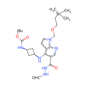 CC(C)(C)OC(=O)N[C@H]1C[C@@H](Nc2c(C(=O)NNC=O)cnc3c2ccn3COCC[Si](C)(C)C)C1